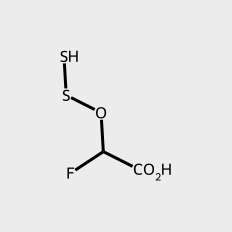 O=C(O)C(F)OSS